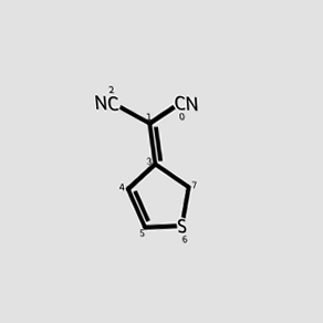 N#CC(C#N)=C1C=CSC1